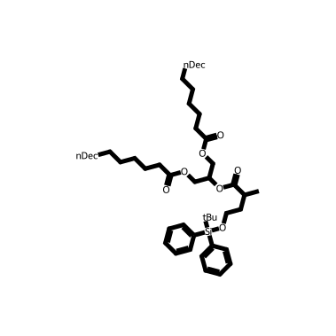 CCCCCCCCCCCCCCCC(=O)OCC(COC(=O)CCCCCCCCCCCCCCC)OC(=O)C(C)CCO[Si](c1ccccc1)(c1ccccc1)C(C)(C)C